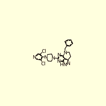 Clc1cncc(Cl)c1N1CCN(c2nc3c4c(n[nH]c4n2)CCN3Cc2ccccc2)CC1